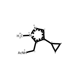 CC(=O)NCc1c(C2CC2)cnn1C